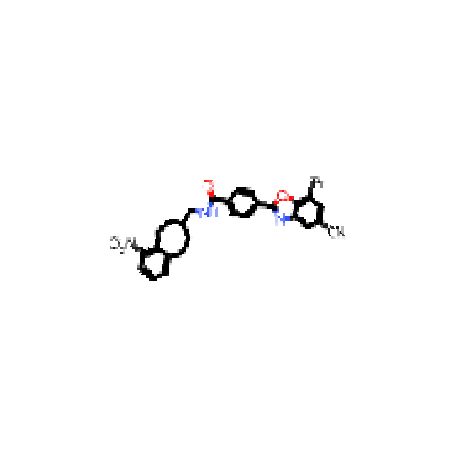 CC(C)c1cc(C#N)cc2nc(-c3ccc(C(=O)NCC4CCc5cccc([N+](=O)[O-])c5CC4)cc3)oc12